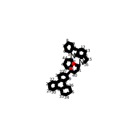 c1ccc(-n2c3ccccc3c3ccc4ccn(-c5ccc(-c6ccc7c8ccccc8c8ccccc8c7c6)cc5)c4c32)cc1